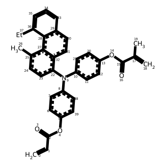 C=CC(=O)Oc1ccc(N(c2ccc(OC(=O)C(=C)C)cc2)c2ccc(C)c3c4c(ccc23)C=C=C=C4CC)cc1